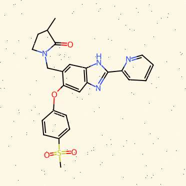 CC1CCN(Cc2cc3[nH]c(-c4ccccn4)nc3cc2Oc2ccc(S(C)(=O)=O)cc2)C1=O